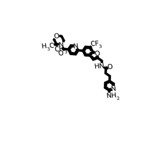 CC1(C)COCCN1C(=O)c1ccc(-c2cc(C(F)(F)F)c3oc(CNC(=O)CCc4ccc(N)nc4)cc3c2)nc1